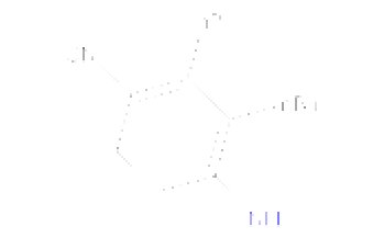 CCCCc1c(N)ccc(N=O)c1CCCC